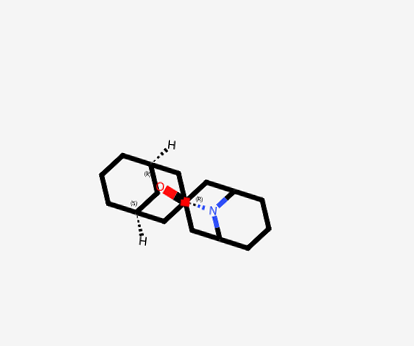 O=C1CC2CCCC(C1)N2[C@H]1C[C@@H]2CCC[C@@H](C2)C1